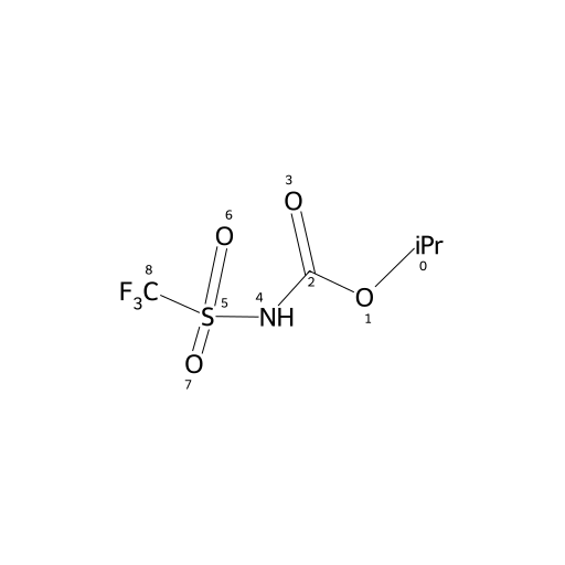 CC(C)OC(=O)NS(=O)(=O)C(F)(F)F